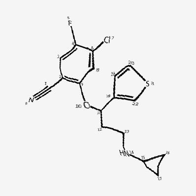 N#Cc1cc(F)c(Cl)cc1OC(CCNC1CC1)c1ccsc1